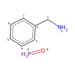 NCc1ccccc1.O=[PH3]